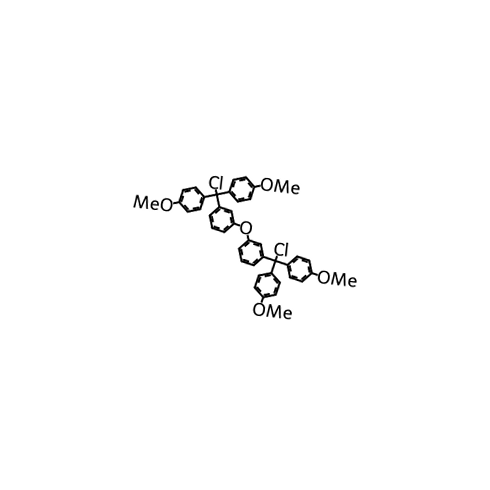 COc1ccc(C(Cl)(c2ccc(OC)cc2)c2cccc(Oc3cccc(C(Cl)(c4ccc(OC)cc4)c4ccc(OC)cc4)c3)c2)cc1